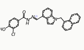 O=C(N/N=C/c1cccc2c1ccn2Cc1cccc2ccccc12)c1ccc(O)c(Cl)c1